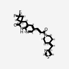 O=C(C=Cc1cnc2c(c1)CC1(CC(F)(F)C1)C(=O)N2)N1CCC(=Cc2cscn2)CC1